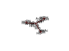 CCCC(COCCC(=O)NCCCNC(=O)CCCCOC1OC(CO)C(O)C(O)C1NC(C)=O)(COCCC(=O)NCCCNC(=O)CCCCOC1OC(CO)C(O)C(O)C1NC(C)=O)COCCC(=O)NCCCNC(=O)CCCCOC1OC(CO)C(O)C(O)C1NC(C)=O